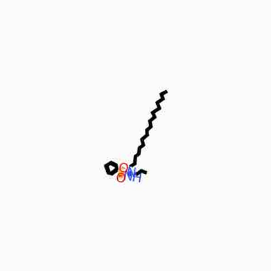 CCCCCCCCCCCCCCCCCCN(CCC)NS(=O)(=O)c1ccccc1